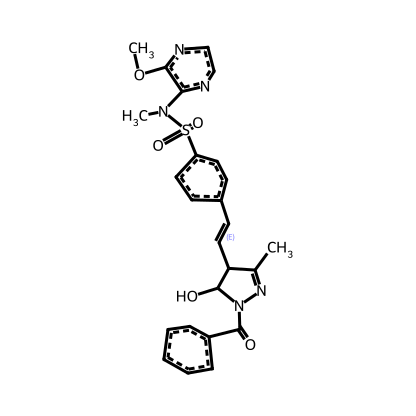 COc1nccnc1N(C)S(=O)(=O)c1ccc(/C=C/C2C(C)=NN(C(=O)c3ccccc3)C2O)cc1